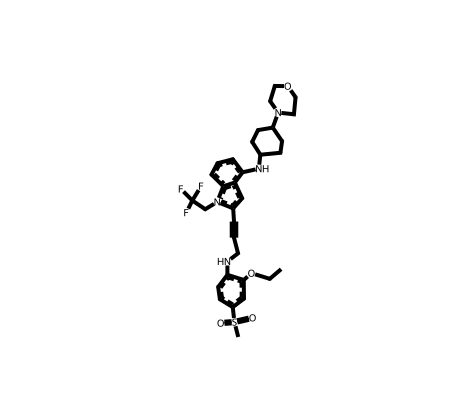 CCOc1cc(S(C)(=O)=O)ccc1NCC#Cc1cc2c(NC3CCC(N4CCOCC4)CC3)cccc2n1CC(F)(F)F